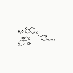 COc1ccc(COc2ccc3oc(C)c(C(=O)NC4(CO)CCOCC4)c3c2)cn1